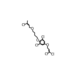 CC(Cl)=CCOCCCCOc1c(Cl)cc(OCC=C(Cl)Cl)cc1Cl